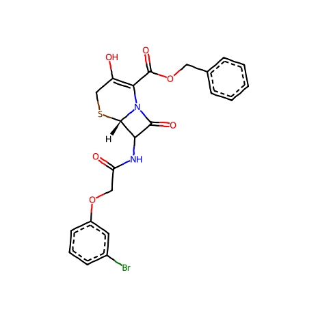 O=C(COc1cccc(Br)c1)NC1C(=O)N2C(C(=O)OCc3ccccc3)=C(O)CS[C@@H]12